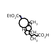 CCOC(=O)/C=C1\CCCCC2[C@H](CCC3(C)[C@@H]([C@H](C)CCC(=O)O)CC[C@@H]23)C(C)CC1